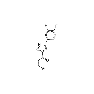 CC(=O)/C=C\C(=O)c1cc(-c2ccc(F)c(F)c2)no1